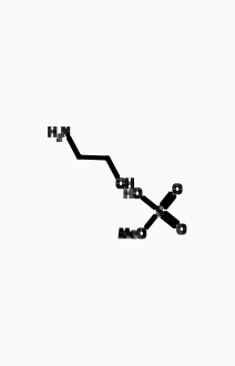 COS(=O)(=O)O.NCCO